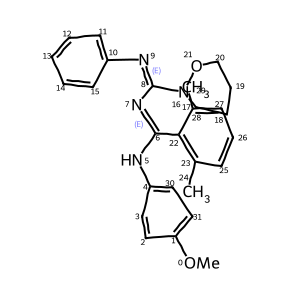 COc1ccc(N/C(=N/C(=N\c2ccccc2)N2CCCCO2)c2c(C)cccc2C)cc1